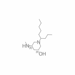 CCCCCC(CCC)N1C[C@H](O)C[C@@H](NC)C1